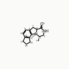 C[C@@H]1CNC(=O)C2Cc3ccc4c(c3N21)CCC4